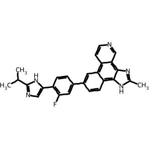 Cc1nc2c3cnccc3c3cc(-c4ccc(-c5cnc(C(C)C)[nH]5)c(F)c4)ccc3c2[nH]1